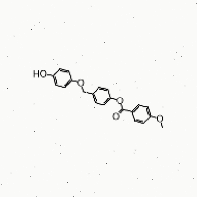 COc1ccc(C(=O)Oc2ccc(COc3ccc(O)cc3)cc2)cc1